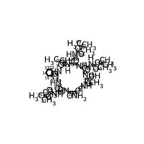 CC(C)C[C@@H]1NC(=O)[C@@H](Cc2ccccc2)NC(=O)[C@H](CCNC(=O)OC(C)(C)C)NC(=O)[C@@H](N)CCNC(=O)[C@@H]([C@H](C)O)NC(=O)[C@H](CCNC(=O)OC(C)(C)C)NC(=O)[C@H](CCNC(=O)OC(C)(C)C)NC1=O